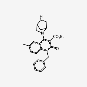 CCOC(=O)c1c(N2CC3CC2CN3)c2cc(C)ccc2n(Cc2ccccc2)c1=O